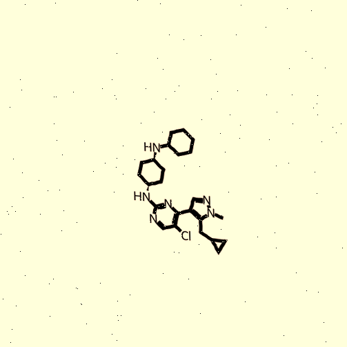 Cn1ncc(-c2nc(N[C@H]3CC[C@H](NC4CCCCC4)CC3)ncc2Cl)c1CC1CC1